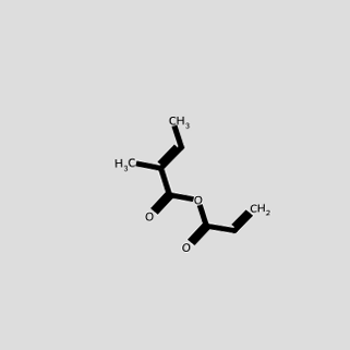 C=CC(=O)OC(=O)C(C)=CC